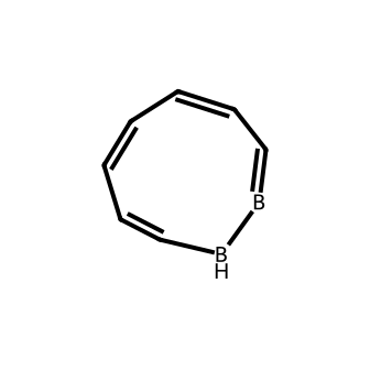 B1=CC=CC=CC=CB1